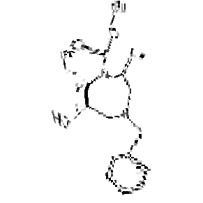 CC(C)C[C@H]1[C@@H](O)CN(Cc2ccccc2)CC(=O)N1C(=O)OC(C)(C)C